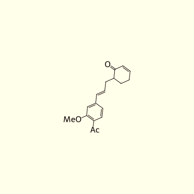 COc1cc(/C=C/CC2CCC=CC2=O)ccc1C(C)=O